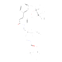 CC(C)(C)OC(=O)N1CCC(O)(Cn2cc(B3OC(C)(C)C(C)(C)O3)c(-c3ccccc3F)cc2=O)C(C)(C)C1